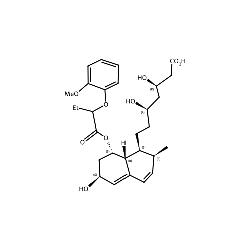 CCC(Oc1ccccc1OC)C(=O)O[C@H]1C[C@H](O)C=C2C=C[C@H](C)[C@H](CC[C@@H](O)C[C@@H](O)CC(=O)O)[C@H]21